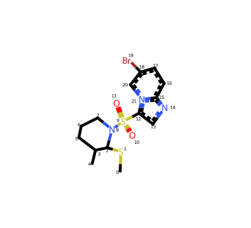 CSC1C(C)CCCN1S(=O)(=O)c1cnc2ccc(Br)cn12